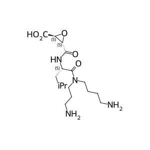 CC(C)C[C@H](NC(=O)[C@H]1O[C@@H]1C(=O)O)C(=O)N(CCCN)CCCCN